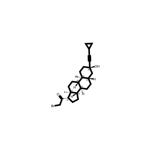 C[C@]12CC[C@H]3[C@@H](CC[C@H]4C[C@@](O)(C#CC5CC5)CC[C@@H]43)[C@@H]1CC[C@@H]2C(=O)CBr